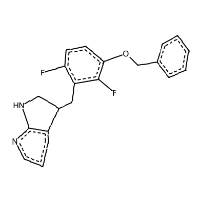 Fc1ccc(OCc2ccccc2)c(F)c1CC1CNc2ncccc21